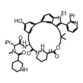 CCn1c(-c2cccnc2C(C)C)c2c3cc(ccc31)-c1cc(O)cc(c1)C[C@H](NC(=O)[C@H](C(C)C)N(C)C(=O)C1CCCNC1)C(=O)N1CCC[C@H](N1)C(=O)OCC(C)(C)C2